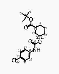 CC(C)(C)OC(=O)N1CCC[C@H](OC(=O)Nc2ccc(Cl)cc2)C1